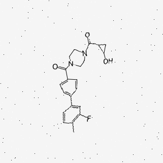 Cc1ccc(-c2ccc(C(=O)N3CCN(C(=O)C4CC4O)CC3)cc2)cc1F